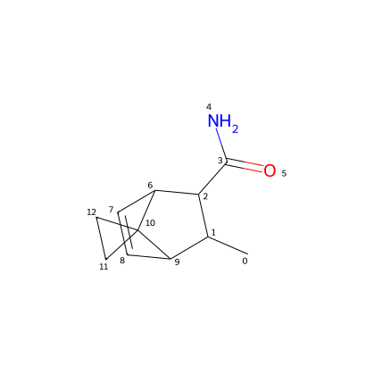 CC1C(C(N)=O)C2C=CC1C21CC1